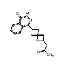 CC(=O)CC1CC2(C1)CC(c1n[nH]c(=O)c3ccccc13)C2